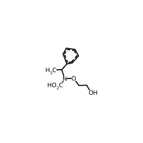 CC(c1ccccc1)N(OCCO)C(=O)O